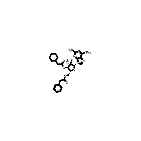 CNc1nc(N)nc2c1ncn2[C@@H]1O[C@H](COC(=O)Cc2ccccc2)[C@@H](OC(=O)CC2CCCCC2)[C@@]1(C)F